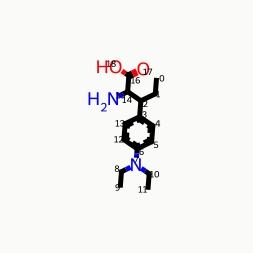 CCC(c1ccc(N(CC)CC)cc1)C(N)C(=O)O